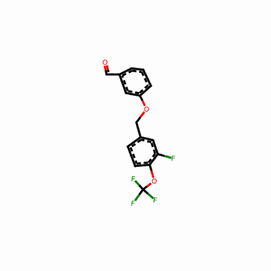 O=Cc1cccc(OCc2ccc(OC(F)(F)F)c(F)c2)c1